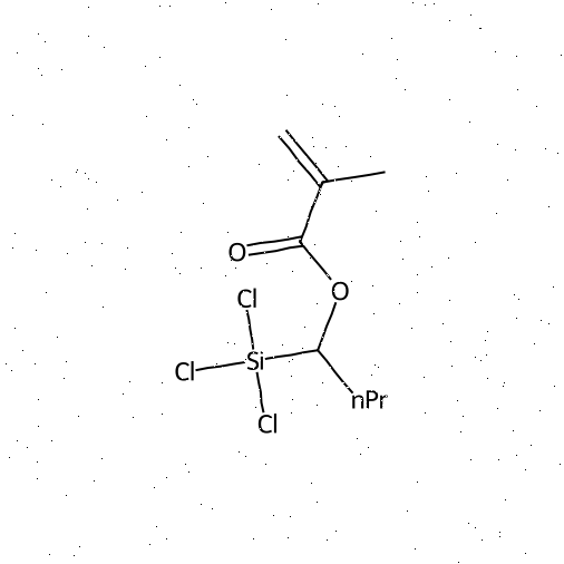 C=C(C)C(=O)OC(CCC)[Si](Cl)(Cl)Cl